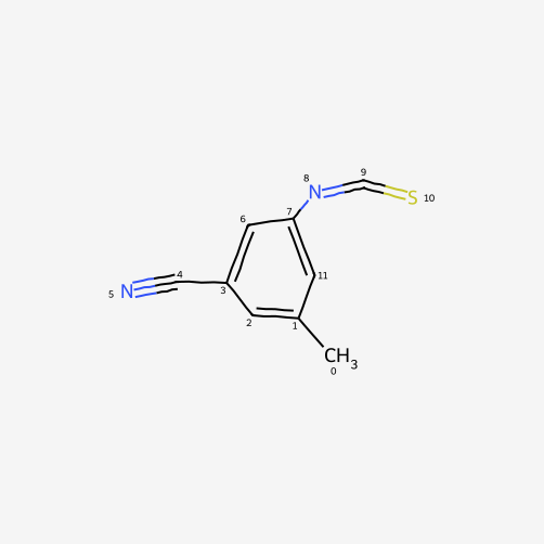 Cc1cc(C#N)cc(N=C=S)c1